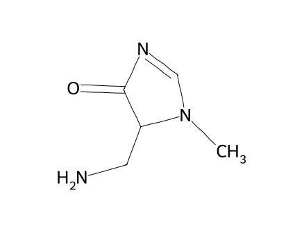 CN1C=NC(=O)C1CN